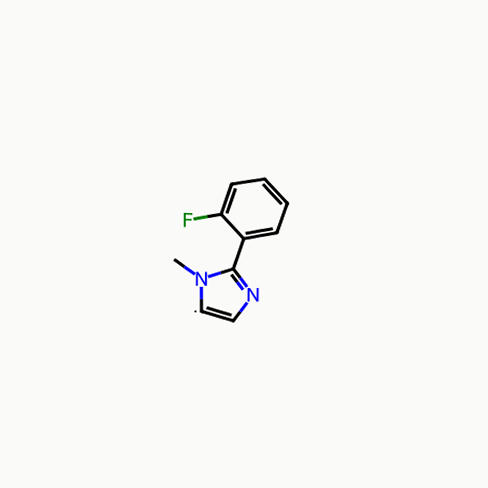 Cn1[c]cnc1-c1ccccc1F